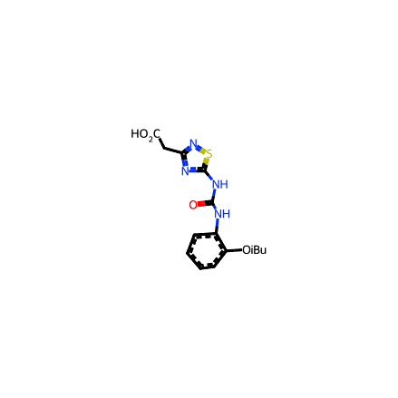 CC(C)COc1ccccc1NC(=O)Nc1nc(CC(=O)O)ns1